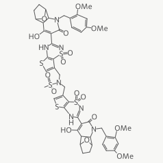 COc1ccc(CN2C(=O)C(C3=NS(=O)(=O)c4c(CN(Cc5csc6c5S(=O)(=O)N=C(C5=C(O)C7C8CCC(O8)C7N(Cc7ccc(OC)cc7OC)C5=O)N6)S(C)(=O)=O)csc4N3)=C(O)C3C4CCC(O4)C32)c(OC)c1